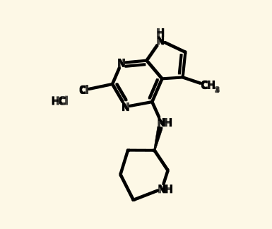 Cc1c[nH]c2nc(Cl)nc(N[C@@H]3CCCNC3)c12.Cl